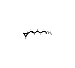 CCCCC=C[C]1CC1